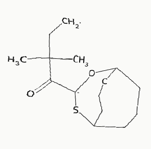 [CH2]CC(C)(C)C(=O)[C]1OC2CCCC(CCC2)S1